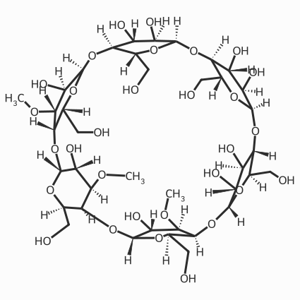 CO[C@@H]1[C@@H](O)[C@H]2O[C@@H]3[C@H](OC)[C@@H](O)[C@@H](O[C@@H]4[C@H](OC)[C@@H](O)[C@@H](O[C@H]5[C@H](O)[C@@H](O)[C@@H](O[C@H]6[C@H](O)[C@@H](O)[C@@H](O[C@H]7[C@H](O)[C@@H](O)[C@@H](O[C@H]1[C@@H](CO)O2)O[C@@H]7CO)O[C@@H]6CO)O[C@@H]5CO)O[C@@H]4CO)O[C@@H]3CO